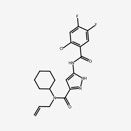 C=CCN(C(=O)c1cc(NC(=O)c2cc(F)c(F)cc2Cl)[nH]n1)C1CCCCC1